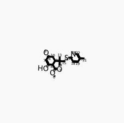 COC(=O)C1C(O)=CC(=O)CC1C(C)(C)CSc1ccc(C)cn1